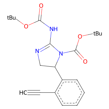 C#Cc1ccccc1C1CN=C(NC(=O)OC(C)(C)C)N1C(=O)OC(C)(C)C